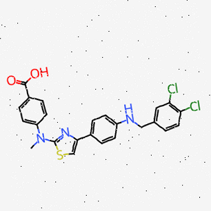 CN(c1ccc(C(=O)O)cc1)c1nc(-c2ccc(NCc3ccc(Cl)c(Cl)c3)cc2)cs1